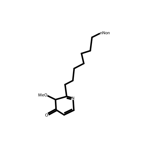 CCCCCCCCCCCCCCCCC1=NC=CC(=O)C1OC